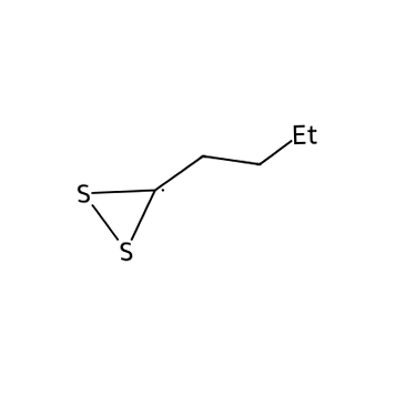 CCCC[C]1SS1